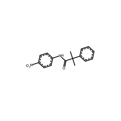 CC(C)(C(=O)Nc1ccc([N+](=O)[O-])cc1)c1ccccc1